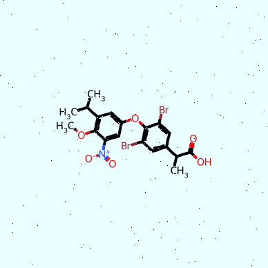 COc1c(C(C)C)cc(Oc2c(Br)cc(C(C)C(=O)O)cc2Br)cc1[N+](=O)[O-]